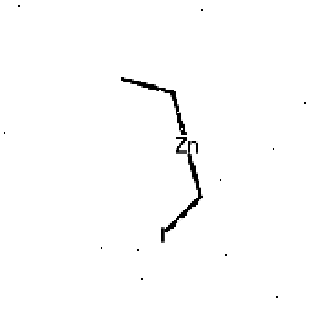 C[CH2][Zn][CH2]I